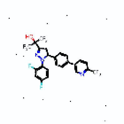 OC(C1=NN(c2ccc(F)cc2F)C(c2ccc(-c3ccc(C(F)(F)F)nc3)cc2)C1)(C(F)(F)F)C(F)(F)F